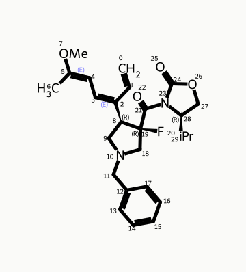 C=C/C(=C\C=C(/C)OC)[C@@H]1CN(Cc2ccccc2)C[C@@]1(F)C(=O)N1C(=O)OC[C@H]1C(C)C